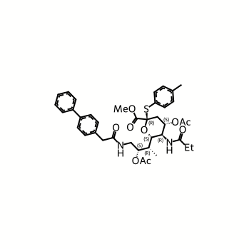 CCC(=O)N[C@H]1[C@H]([C@H](C)[C@@H](CNC(=O)Cc2ccc(-c3ccccc3)cc2)OC(C)=O)O[C@](Sc2ccc(C)cc2)(C(=O)OC)C[C@@H]1OC(C)=O